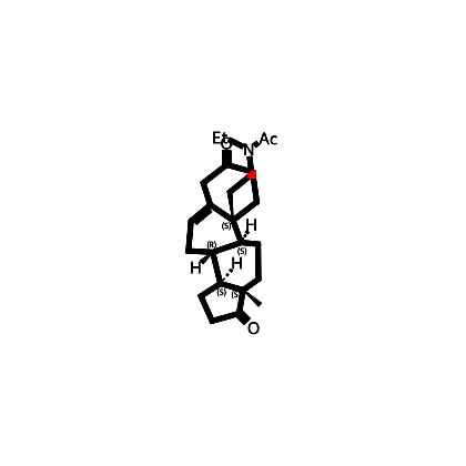 CCN(CC[C@]12CCC(=O)CC1=CC[C@@H]1[C@@H]2CC[C@]2(C)C(=O)CC[C@@H]12)C(C)=O